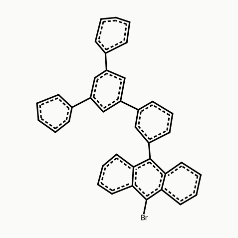 Brc1c2ccccc2c(-c2cccc(-c3cc(-c4ccccc4)cc(-c4ccccc4)c3)c2)c2ccccc12